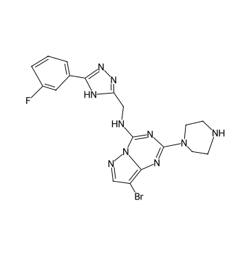 Fc1cccc(-c2nnc(CNc3nc(N4CCNCC4)nc4c(Br)cnn34)[nH]2)c1